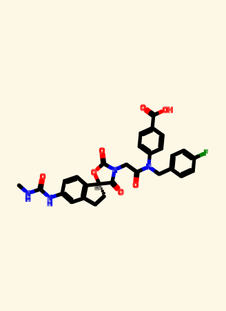 CNC(=O)Nc1ccc2c(c1)CC[C@@]21OC(=O)N(CC(=O)N(Cc2ccc(F)cc2)c2ccc(C(=O)O)cc2)C1=O